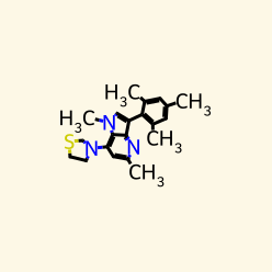 Cc1cc(C)c(-c2cn(C)c3c(N4CCSC4)cc(C)nc23)c(C)c1